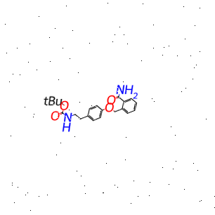 CC(C)(C)OC(=O)NCCc1ccc(OCc2ccccc2C(N)=O)cc1